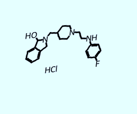 Cl.OC1c2ccccc2CN1CC1CCN(CCNc2ccc(F)cc2)CC1